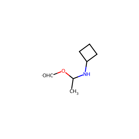 CC(NC1CCC1)O[C]=O